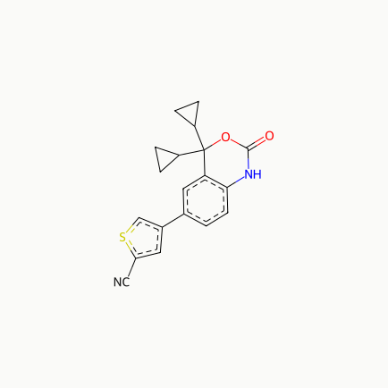 N#Cc1cc(-c2ccc3c(c2)C(C2CC2)(C2CC2)OC(=O)N3)cs1